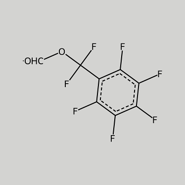 O=[C]OC(F)(F)c1c(F)c(F)c(F)c(F)c1F